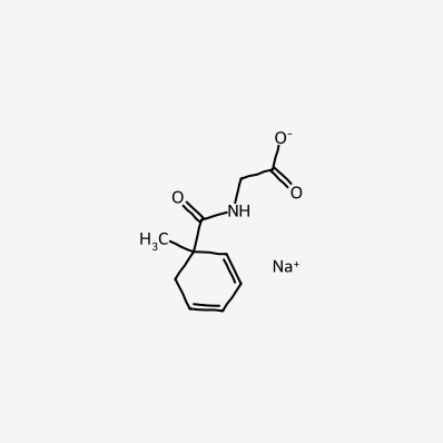 CC1(C(=O)NCC(=O)[O-])C=CC=CC1.[Na+]